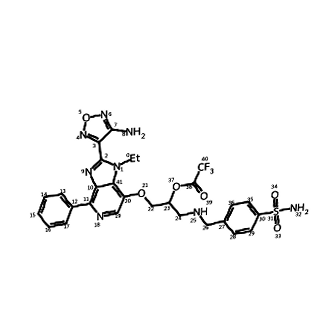 CCn1c(-c2nonc2N)nc2c(-c3ccccc3)ncc(OCC(CNCc3ccc(S(N)(=O)=O)cc3)OC(=O)C(F)(F)F)c21